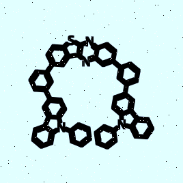 c1ccc(-n2c3ccccc3c3cc(-c4cccc(-c5ccc6nc7sc8ccc(-c9cccc(-c%10ccc%11c(c%10)c%10ccccc%10n%11-c%10ccccc%10)c9)cc8c7nc6c5)c4)ccc32)cc1